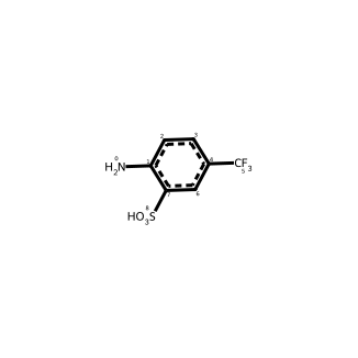 Nc1ccc(C(F)(F)F)cc1S(=O)(=O)O